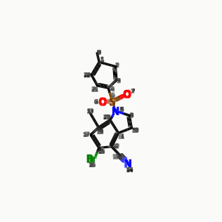 Cc1ccc(S(=O)(=O)n2ccc3c(C#N)c(Br)cc(C)c32)cc1